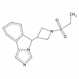 CCS(=O)(=O)N1CC(C2c3ccccc3-c3cncn32)C1